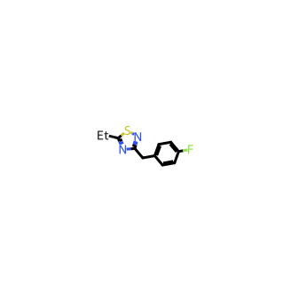 CCc1nc(Cc2ccc(F)cc2)ns1